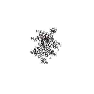 CO[C@@H]1[C@@H](OC)[C@H](O[C@H]2[C@H](OS(=O)(=O)O)[C@@H](OS(=O)(=O)O)[C@@H](O[C@H]3[C@H](OC)[C@@H](OC)[C@H](O[C@H]4[C@H](OC)[C@@H](OS(=O)(=O)O)CO[C@@H]4COS(=O)(=O)O)O[C@H]3C(O)O)O[C@@H]2COS(=O)(=O)O)O[C@H](C(O)O)[C@H]1O[C@H]1O[C@H](COS(=O)(=O)O)[C@@H](O[C@@H]2O[C@H](C)[C@@H](OC3O[C@H](C)C[C@H](OC)[C@H]3OC)[C@H](OC)[C@H]2OC)[C@H](OC)[C@H]1OC